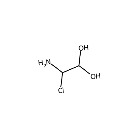 NC(Cl)C(O)O